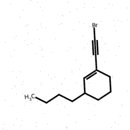 CCCCC1C=C(C#CBr)CCC1